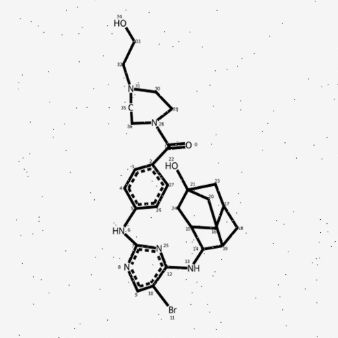 O=C(c1ccc(Nc2ncc(Br)c(NC3C4CC5CC3CC(O)(C5)C4)n2)cc1)N1CCN(CCO)CC1